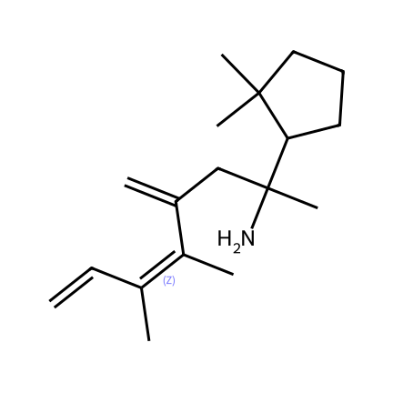 C=C/C(C)=C(/C)C(=C)CC(C)(N)C1CCCC1(C)C